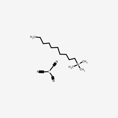 CCCCCCCCCC[N+](C)(C)C.N#C[C-](C#N)C#N